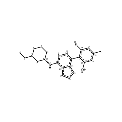 CCN1CCC[C@@H](Nc2nnc(-c3c(O)cc(C)cc3F)c3cccn23)C1